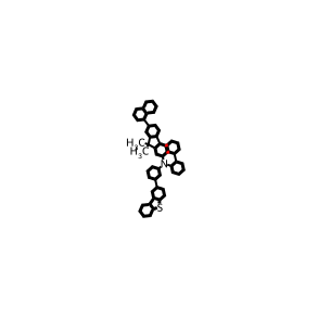 CC1(C)c2cc(-c3cccc4ccccc34)ccc2-c2ccc(N(c3cccc(-c4ccc5sc6ccccc6c5c4)c3)c3ccccc3-c3ccccc3)cc21